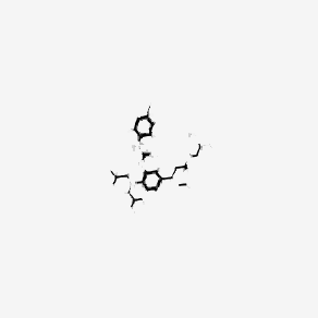 CC[C@@H](CC(=O)OC[C@H](C)O)c1ccc(N(CC(C)C)CC(C)C)c(NC(=O)Nc2ccc(C)cc2)c1